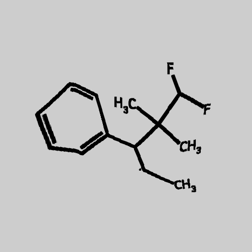 C[CH]C(c1ccccc1)C(C)(C)C(F)F